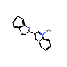 CCC[n+]1cc(-c2ccc3ccccc3n2)cc2ccccc21